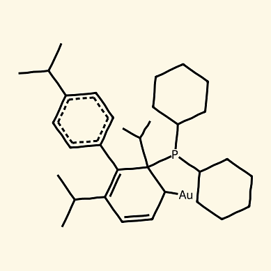 CC(C)C1=C(c2ccc(C(C)C)cc2)C(C(C)C)(P(C2CCCCC2)C2CCCCC2)[CH]([Au])C=C1